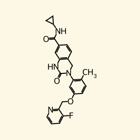 Cc1ccc(OCc2ncccc2F)cc1N1Cc2ccc(C(=O)NC3CC3)cc2NC1=O